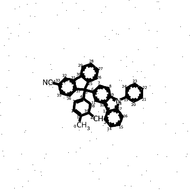 CC1=CC=C(C2(c3ccc4c(c3)c3ccccc3n4-c3ccccc3)c3ccccc3-c3cc(C#N)ccc32)CC1C